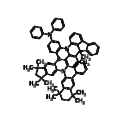 Cc1cc2c3c4c1C1(C)c5ccccc5-c5cccc(c51)N4c1cc(N(c4ccccc4)c4ccccc4)ccc1B3c1cc3c(cc1N2c1cc2c(cc1-c1ccccc1)C(C)(C)CCC2(C)C)C(C)(C)CC3(C)C